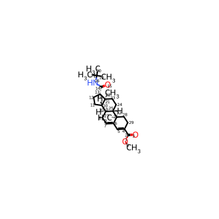 COC(=O)C1=CC2=CC[C@H]3[C@@H]4CC[C@H](C(=O)NC(C)(C)C)[C@@]4(C)CC[C@@H]3[C@@]2(C)CC1